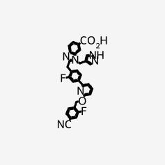 N#Cc1ccc(COc2cccc(-c3ccc(Cc4nc5ccc(C(=O)O)cc5n4Cc4cn[nH]c4)c(F)c3)n2)c(F)c1